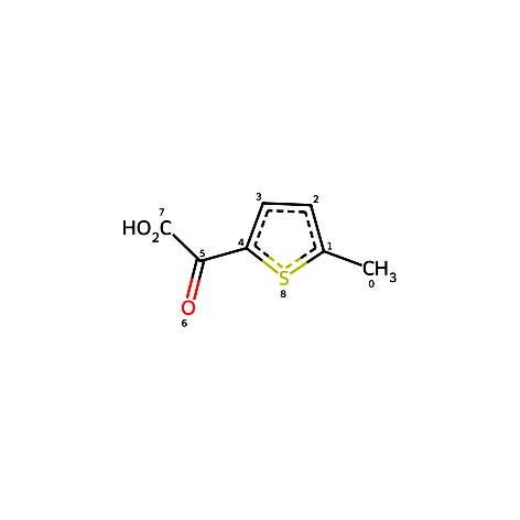 Cc1ccc(C(=O)C(=O)O)s1